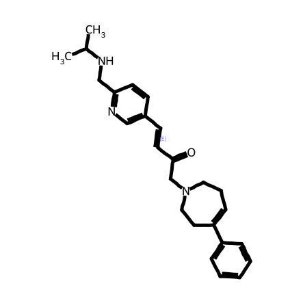 CC(C)NCc1ccc(/C=C/C(=O)CN2CCC=C(c3ccccc3)CC2)cn1